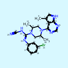 Cc1c[nH]c2ncnc(N3CC(C)N(/C(=N\c4cccc(Br)c4)NC#N)CC3C)c12